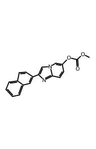 COC(=O)Oc1ccc2nc(-c3ccc4ccccc4c3)cn2c1